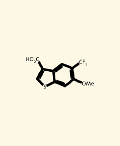 COc1cc2scc(C(=O)O)c2cc1C(F)(F)F